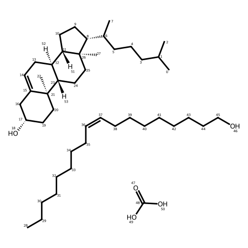 CC(C)CCCC(C)[C@H]1CC[C@H]2[C@@H]3CC=C4C[C@@H](O)CC[C@]4(C)[C@H]3CC[C@]12C.CCCCCCCC/C=C\CCCCCCCCO.O=C(O)O